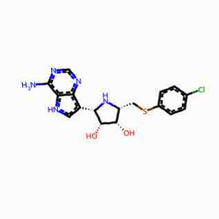 Nc1ncnc2c([C@@H]3N[C@H](CSc4ccc(Cl)cc4)[C@H](O)[C@@H]3O)c[nH]c12